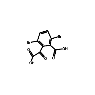 O=C(O)C(=O)c1c(Br)ccc(Br)c1C(=O)O